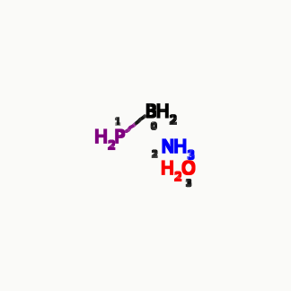 BP.N.O